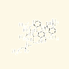 C=CC(=O)N1CC(C)N2C(=N)c3c(c(F)c(-c4c(C)ccc(N)c4C=N)c(Cl)c3Nc3c(C)ccnc3C(C)O)NCC2C1